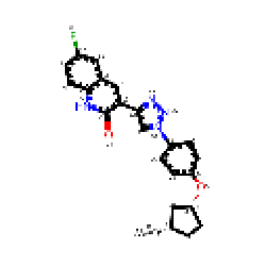 CO[C@H]1CC[C@@H](Oc2ccc(-n3cc(-c4cc5cc(F)ccc5[nH]c4=O)nn3)cc2)C1